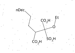 CCCCCCCCCCCCC(C(=O)O)C(OCC)(C(=O)O)S(=O)(=O)O